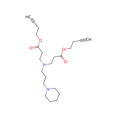 C#CCCOC(=O)CCN(CCCN1CCCCC1)CCC(=O)OCCC#C